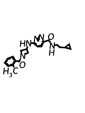 Cc1ccccc1C(=O)N1CC(Nc2ccc(C(=O)NCCC3CC3)nn2)C1